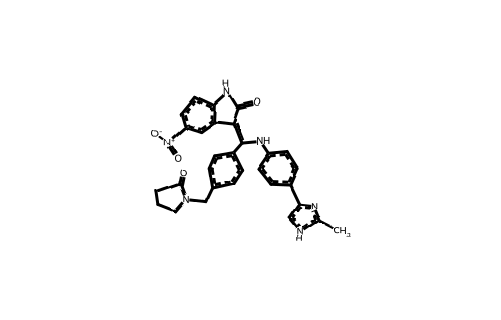 Cc1nc(-c2ccc(N/C(=C3\C(=O)Nc4ccc([N+](=O)[O-])cc43)c3ccc(CN4CCCC4=O)cc3)cc2)c[nH]1